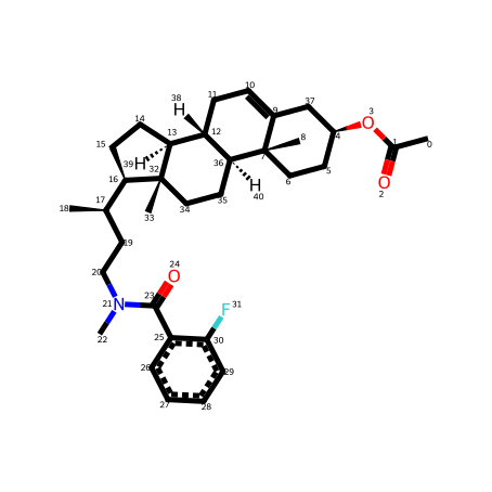 CC(=O)O[C@H]1CC[C@@]2(C)C(=CC[C@H]3[C@@H]4CC[C@H]([C@H](C)CCN(C)C(=O)c5ccccc5F)[C@@]4(C)CC[C@@H]32)C1